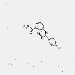 NC(=O)c1cccc2nc(-c3ccc(Cl)cc3)nnc12